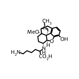 CO[C@@]12CC[C@@H](NC(CCCCN)C(=O)O)[C@@H]3Oc4c(O)ccc5c4[C@@]31CCN(C)C2C5